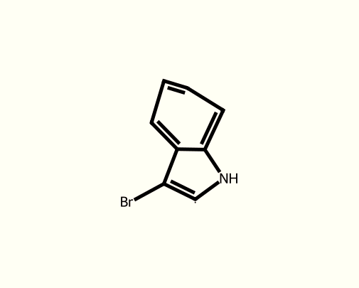 Brc1[c][nH]c2ccccc12